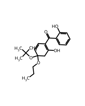 CCCOC1(OC(C)(C)C)C=CC(C(=O)c2ccccc2O)=C(O)C1